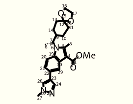 COC(=O)c1c(C)n([C@H](C)C2CCC3(CC2)OCCO3)c2ccc(-c3cnn(C)c3)cc12